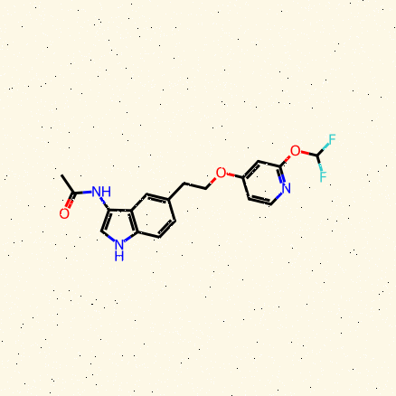 CC(=O)Nc1c[nH]c2ccc(CCOc3ccnc(OC(F)F)c3)cc12